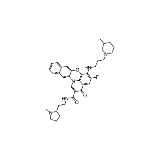 CC1CCCN(CCCNc2c(F)cc3c(=O)c(C(=O)NCCC4CCCN4C)cn4c3c2Oc2cc3ccccc3cc2-4)C1